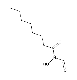 CCCCCCCC(=O)N(O)C=O